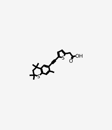 Cc1cc2c(cc1C#Cc1ccc(CC(=O)O)s1)C(C)(C)CC(C)(C)S2